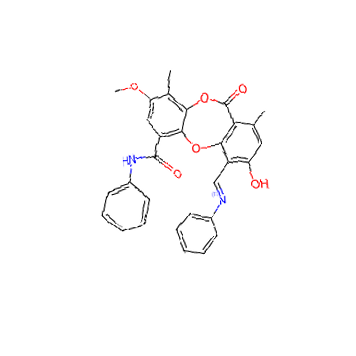 COc1cc(C(=O)Nc2ccccc2)c2c(c1C)OC(=O)c1c(C)cc(O)c(/C=N/c3ccccc3)c1O2